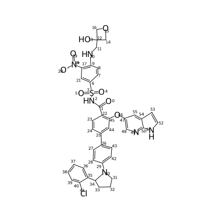 O=C(NS(=O)(=O)c1ccc(NCC2(O)COC2)c([N+](=O)[O-])c1)c1ccc(-c2ccc(N3CCCC3c3ccccc3Cl)cc2)cc1Oc1cnc2[nH]ccc2c1